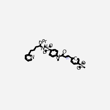 CCCC(CCCc1ccccn1)N=NS(=O)(=O)c1ccc(N(C)C(=O)/C=C/c2ccc(S(C)(=O)=O)cc2)cc1